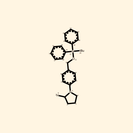 [2H]C1CCCN1c1ccc(CO[Si](c2ccccc2)(c2ccccc2)C(C)(C)C)cc1